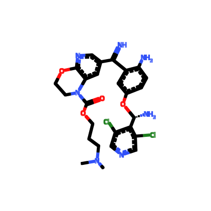 CN(C)CCCOC(=O)N1CCOc2ncc(C(=N)c3cc(O[C@H](N)c4c(Cl)cncc4Cl)ccc3N)cc21